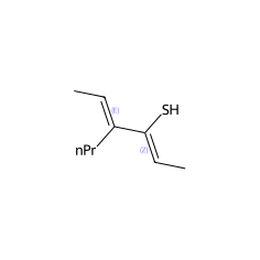 C/C=C(S)/C(=C/C)CCC